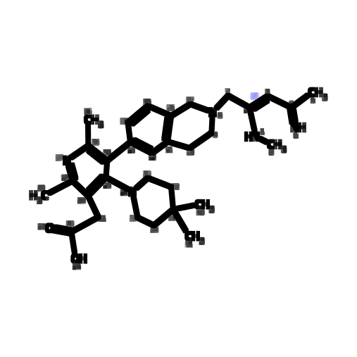 CN/C(=C\C(C)=N)CN1CCc2cc(-c3c(C)nc(C)c(CC(=O)O)c3N3CCC(C)(C)CC3)ccc2C1